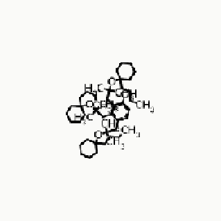 CCCCC1(OC(C)(C)Cc2ccc(O)c(CC(C)(C)OC3(CCCC)CCCCC3)c2CC(C)(C)OC2(CCCC)CCCCC2)CCCCC1